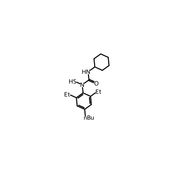 CCCCc1cc(CC)c(N(S)C(=O)NC2CCCCC2)c(CC)c1